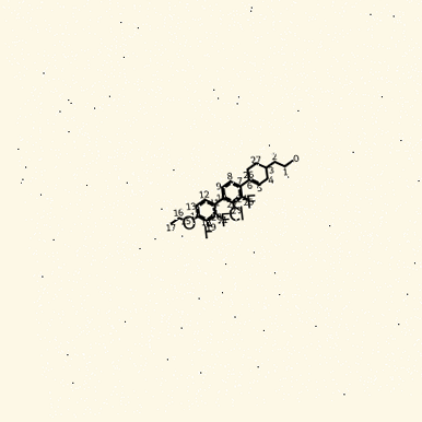 CCCC1CC=C(c2ccc(-c3ccc(OCC)c(F)c3F)c(Cl)c2F)CC1